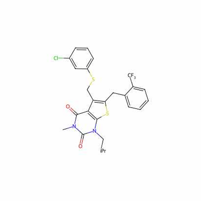 CC(C)Cn1c(=O)n(C)c(=O)c2c(CSc3cccc(Cl)c3)c(Cc3ccccc3C(F)(F)F)sc21